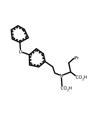 CC(C)CC(C(=O)O)N(CCc1ccc(Oc2ccccc2)cc1)C(=O)O